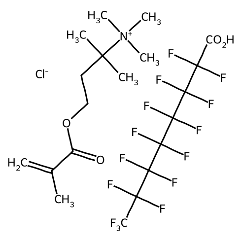 C=C(C)C(=O)OCCC(C)(C)[N+](C)(C)C.O=C(O)C(F)(F)C(F)(F)C(F)(F)C(F)(F)C(F)(F)C(F)(F)C(F)(F)F.[Cl-]